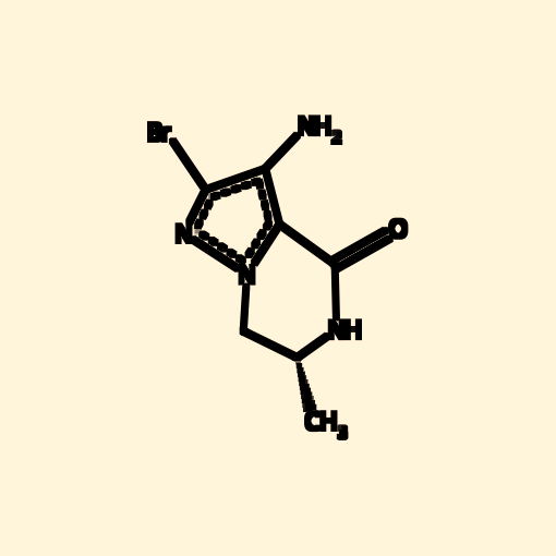 C[C@@H]1Cn2nc(Br)c(N)c2C(=O)N1